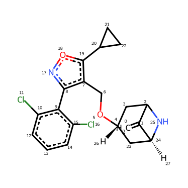 C=C1C2C[C@@H](OCc3c(-c4c(Cl)cccc4Cl)noc3C3CC3)C[C@@H]1N2